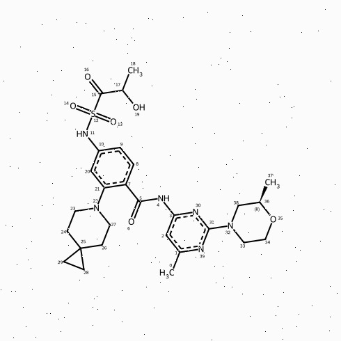 Cc1cc(NC(=O)c2ccc(NS(=O)(=O)C(=O)C(C)O)cc2N2CCC3(CC2)CC3)nc(N2CCO[C@H](C)C2)n1